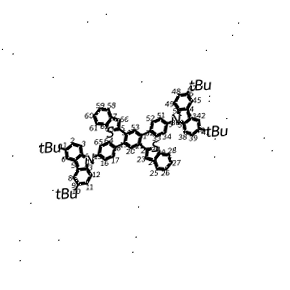 CC(C)(C)c1ccc2c(c1)c1cc(C(C)(C)C)ccc1n2-c1ccc(-c2cc(-c3cc4ccccc4s3)c(-c3ccc(-n4c5ccc(C(C)(C)C)cc5c5cc(C(C)(C)C)ccc54)cc3)cc2-c2cc3ccccc3s2)cc1